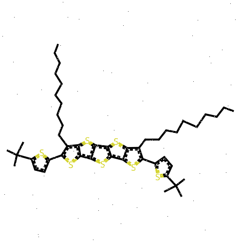 CCCCCCCCCCc1c(-c2ccc(C(C)(C)C)s2)sc2c1sc1c2sc2c3sc(-c4ccc(C(C)(C)C)s4)c(CCCCCCCCCC)c3sc21